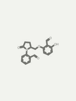 O=Cc1ccccc1N1C(=O)CCC1COc1cccc(O)c1C=O